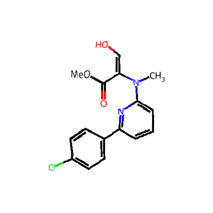 COC(=O)C(=CO)N(C)c1cccc(-c2ccc(Cl)cc2)n1